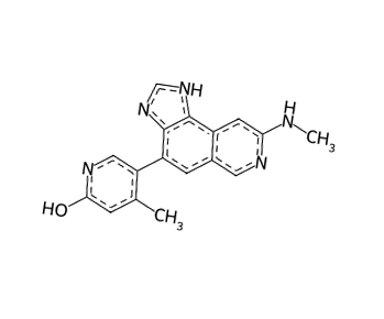 CNc1cc2c(cn1)cc(-c1cnc(O)cc1C)c1nc[nH]c12